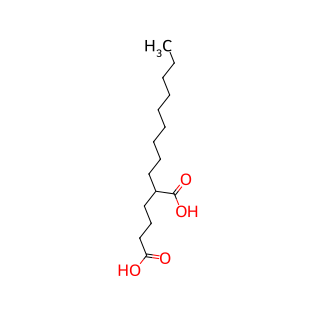 CCCCCCCCCC(CCCC(=O)O)C(=O)O